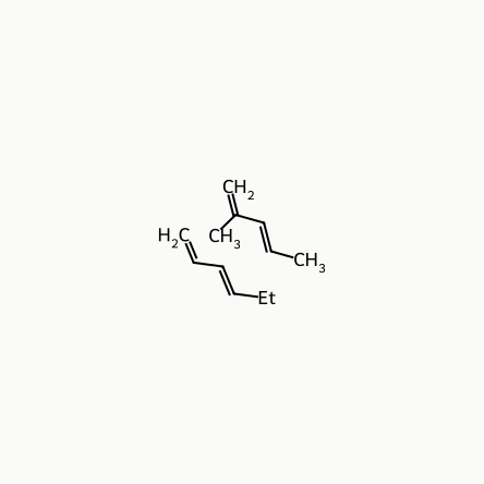 C=C(C)C=CC.C=CC=CCC